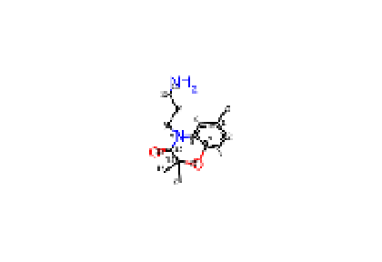 Cc1ccc2c(c1)N(CCCN)C(=O)C(C)(C)O2